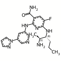 CCC[C@@H](Nc1nc(Nc2cncc(-n3cccn3)c2)c(C(N)=O)cc1F)[C@H](C)N